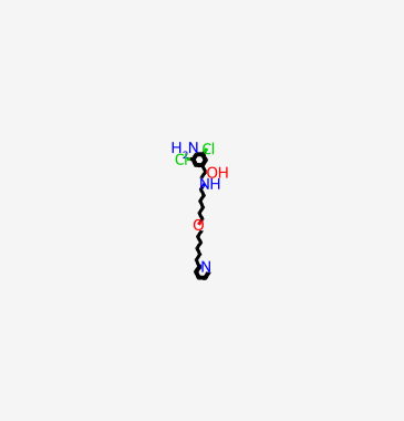 Nc1c(Cl)cc(C(O)CNCCCCCCOCCCCCCc2ccccn2)cc1Cl